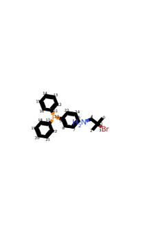 CC(C)(Br)CN.c1ccc(P(c2ccccc2)c2ccccc2)cc1